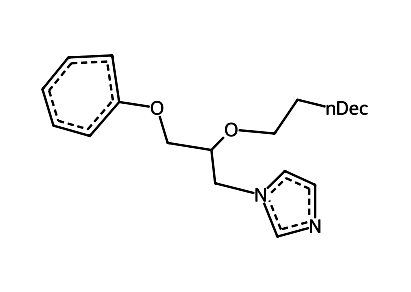 CCCCCCCCCCCCOC(COc1ccccc1)Cn1ccnc1